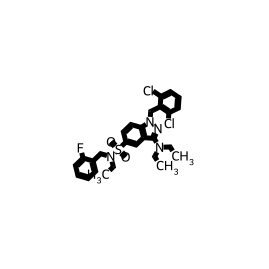 CCN(CC)c1nn(Cc2c(Cl)cccc2Cl)c2ccc(S(=O)(=O)N(CC)Cc3ccccc3F)cc12